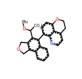 CC(C)(C)OC(C(=O)O)c1c2c(c3ccccc3c1-c1ccc3c4c(ccnc14)CCO3)COC2